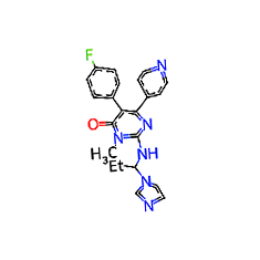 CCC(Nc1nc(-c2ccncc2)c(-c2ccc(F)cc2)c(=O)n1C)n1ccnc1